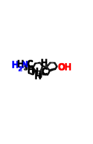 C[C@]12CC[C@H]3[C@@H](CCC4=C[C@@H](O)CC[C@@]43C)[C@@H]1CC[C@@H]2N